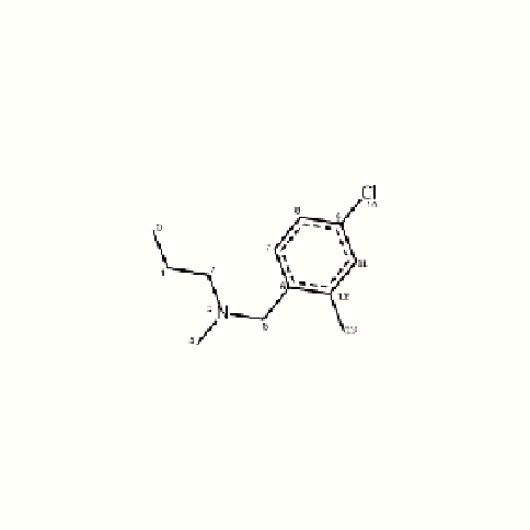 CCCN(C)Cc1ccc(Cl)cc1C